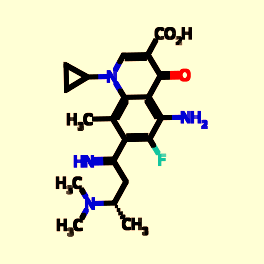 Cc1c(C(=N)C[C@H](C)N(C)C)c(F)c(N)c2c(=O)c(C(=O)O)cn(C3CC3)c12